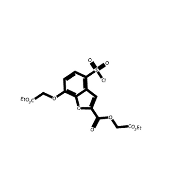 CCOC(=O)COC(=O)c1cc2c(S(=O)(=O)Cl)ccc(OCC(=O)OCC)c2o1